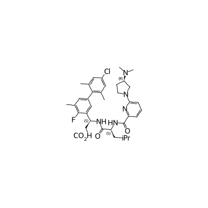 Cc1cc(-c2c(C)cc(Cl)cc2C)cc([C@H](CC(=O)O)NC(=O)[C@H](CC(C)C)NC(=O)c2cccc(N3CC[C@@H](N(C)C)C3)n2)c1F